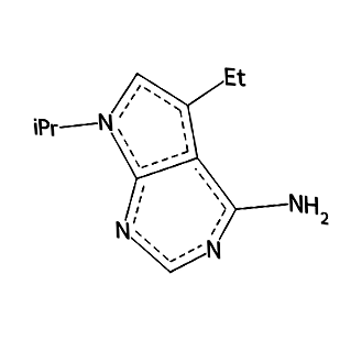 CCc1cn(C(C)C)c2ncnc(N)c12